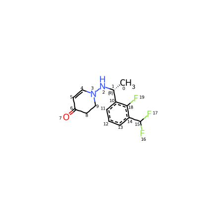 C[C@@H](NN1C=CC(=O)CC1)c1cccc(C(F)F)c1F